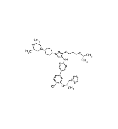 CC(C)OCCCOc1nn([C@H]2CC[C@H](N3C[C@@H](C)O[C@@H](C)C3)CC2)cc1Nc1ncc(-c2ccc(Cl)c(O[C@@H](C)Cn3cncn3)c2)cn1